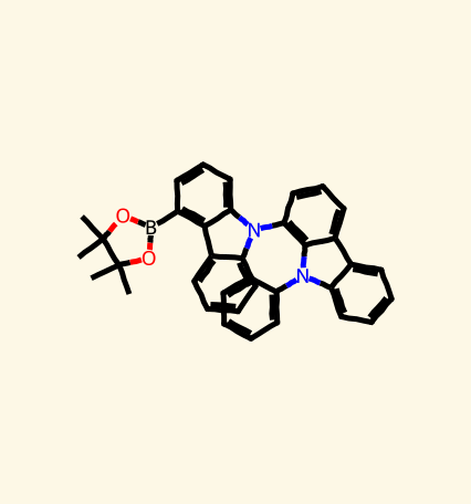 CC1(C)OB(c2cccc3c2c2ccccc2n3-c2cccc3c4ccccc4n(-c4ccccc4)c23)OC1(C)C